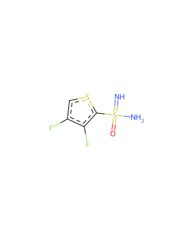 N=S(N)(=O)c1scc(F)c1F